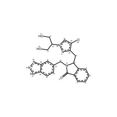 O=C1c2ccccc2C(Cc2nn(C(CO)CO)cc2Cl)N1Cc1ccc2[nH]nnc2c1